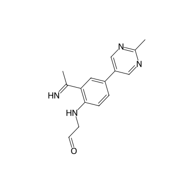 CC(=N)c1cc(-c2cnc(C)nc2)ccc1NCC=O